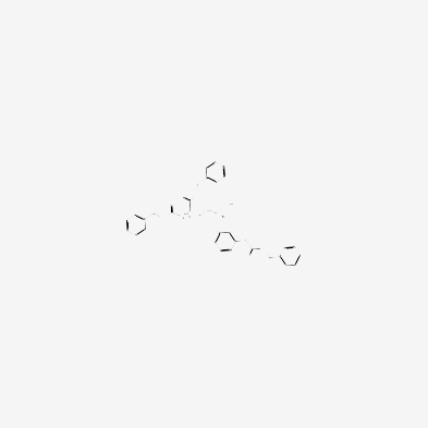 COP(=O)(CC[C@@H](NC(=O)OCc1ccccc1)C(=O)OCc1ccccc1)Oc1cccc(CC(=O)OCc2ccccc2)c1